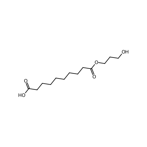 O=C(O)CCCCCCCCC(=O)OCCCO